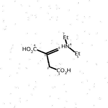 C=C(CC(=O)O)C(=O)O.CCNCC